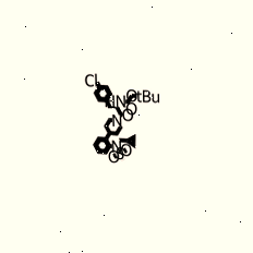 CC(C)(C)OC(=O)N[C@H](Cc1ccc(Cl)cc1)C(=O)N1CCC(c2ccccc2N(CC2CC2)S(C)(=O)=O)CC1